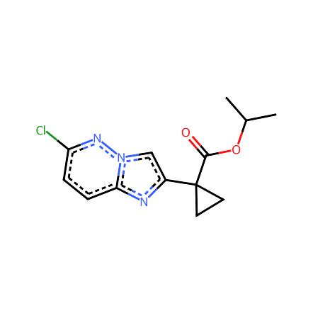 CC(C)OC(=O)C1(c2cn3nc(Cl)ccc3n2)CC1